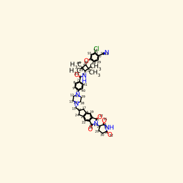 CC1(C)[C@H](NC(=O)c2ccc(N3CCN(CC4Cc5cc6c(cc5C4)C(=O)N([C@@H]4CCC(=O)NC4=O)C6=O)CC3)cc2)C(C)(C)[C@H]1Oc1ccc(C#N)c(Cl)c1